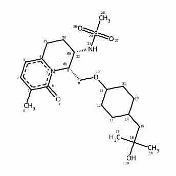 Cc1ccc2n(c1=O)[C@@H](COC1CCC(CC(C)(C)O)CC1)[C@@H](NS(C)(=O)=O)CC2